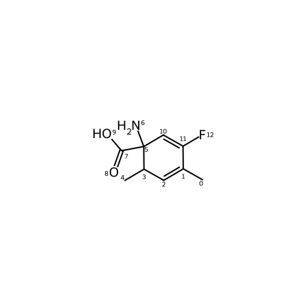 CC1=CC(C)C(N)(C(=O)O)C=C1F